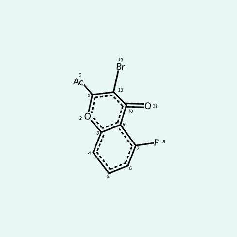 CC(=O)c1oc2cccc(F)c2c(=O)c1Br